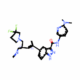 C=N/C=C(\C=C(/C)c1ccc2[nH]nc(C(=O)Nc3ccc(N(C)C)nc3)c2c1)CN1CCC(F)(F)C1